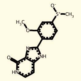 COc1cc([S+](C)[O-])ccc1-c1nc2c(=O)[nH]ccc2[nH]1